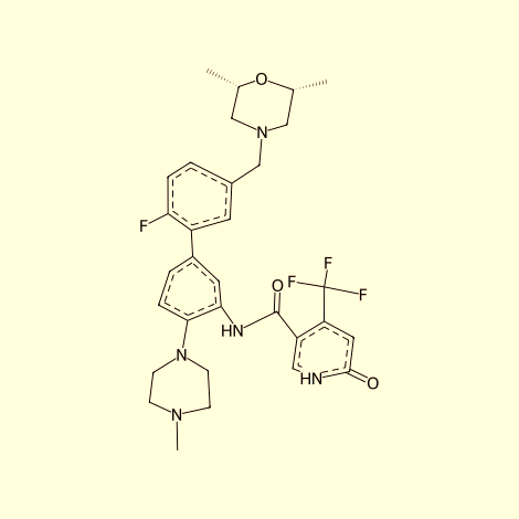 C[C@@H]1CN(Cc2ccc(F)c(-c3ccc(N4CCN(C)CC4)c(NC(=O)c4c[nH]c(=O)cc4C(F)(F)F)c3)c2)C[C@H](C)O1